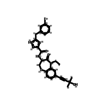 CCN1C(=O)[C@H](NC(=O)c2n[nH]c(Cc3cccc(F)c3)n2)COc2ccc(C#CC(C)(C)O)cc21